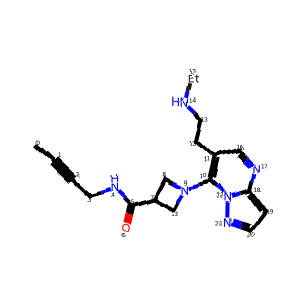 CC#CCNC(=O)C1CN(c2c(CCNCC)cnc3ccnn23)C1